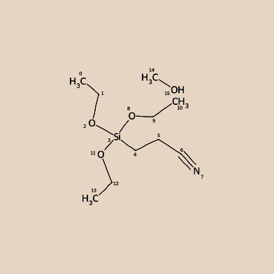 CCO[Si](CCC#N)(OCC)OCC.CO